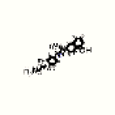 CCCN(/N=N/c1ccc(NC(=O)CN)cc1)C1CCc2c(O)cccc2C1